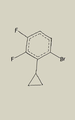 Fc1ccc(Br)c(C2CC2)c1F